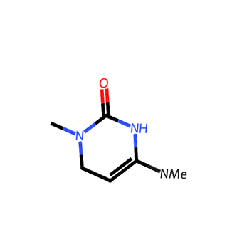 CNC1=CCN(C)C(=O)N1